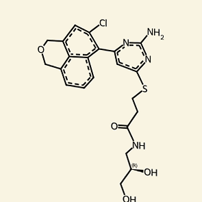 Nc1nc(SCCC(=O)NC[C@@H](O)CO)cc(-c2c(Cl)cc3c4c(cccc24)COC3)n1